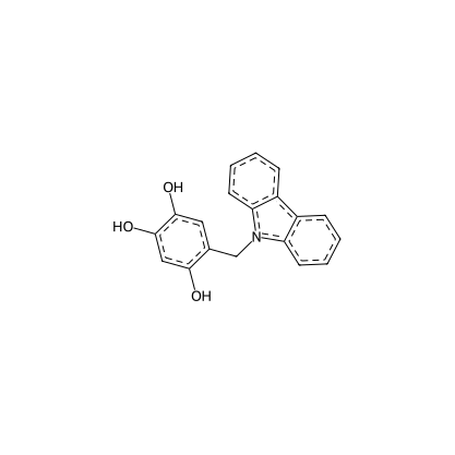 Oc1cc(O)c(Cn2c3ccccc3c3ccccc32)cc1O